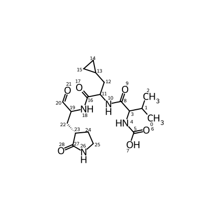 CC(C)C(NC(=O)O)C(=O)NC(CC1CC1)C(=O)NC(C=O)C[C@@H]1CCNC1=O